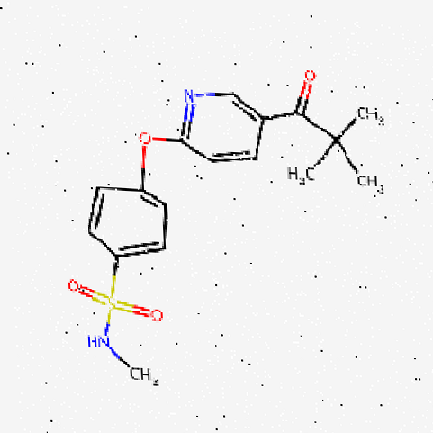 CNS(=O)(=O)c1ccc(Oc2ccc(C(=O)C(C)(C)C)cn2)cc1